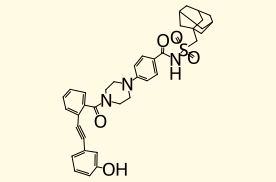 O=C(NS(=O)(=O)CC12CC3CC(CC(C3)C1)C2)c1ccc(N2CCN(C(=O)c3ccccc3C#Cc3cccc(O)c3)CC2)cc1